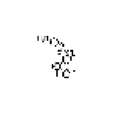 Cc1cccc(-c2[nH]ncc2-c2ccc3nccc(C(=O)O[C@H]4CC[C@@H](N)CC4)c3c2)n1